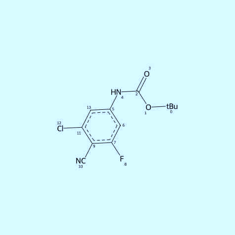 CC(C)(C)OC(=O)Nc1cc(F)c(C#N)c(Cl)c1